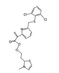 C=C(C(=O)OOCCC1SC=CN1C)c1cccc(CSc2c(Cl)cccc2Cl)n1